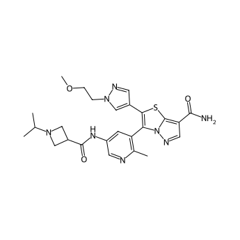 COCCn1cc(-c2sc3c(C(N)=O)cnn3c2-c2cc(NC(=O)C3CN(C(C)C)C3)cnc2C)cn1